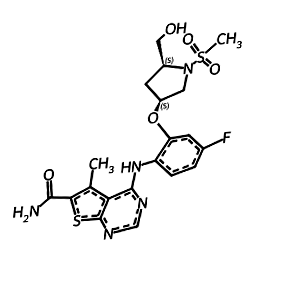 Cc1c(C(N)=O)sc2ncnc(Nc3ccc(F)cc3O[C@H]3C[C@@H](CO)N(S(C)(=O)=O)C3)c12